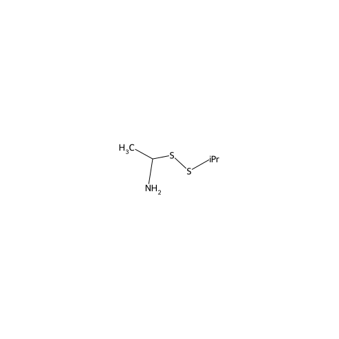 CC(C)SSC(C)N